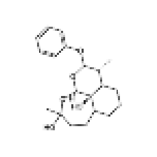 C[C@H]1C(Oc2ccccc2)O[C@@H]2OC(C)(O)CCC3CCCC1[C@]32O